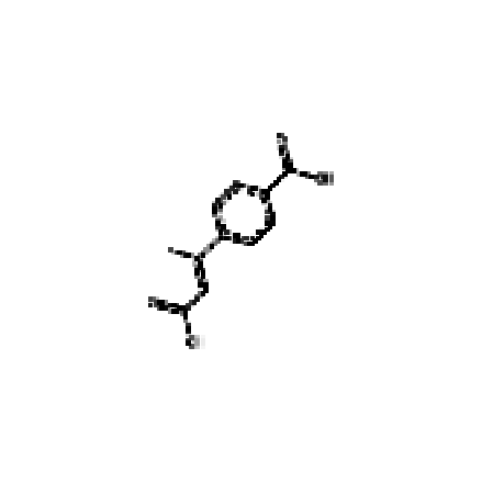 CC(=CC(=O)O)c1ccc(C(=O)O)cc1